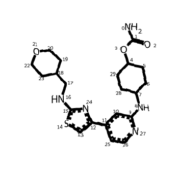 NC(=O)OC1CCC(Nc2cc(-c3csc(NCC4CCOCC4)n3)ccn2)CC1